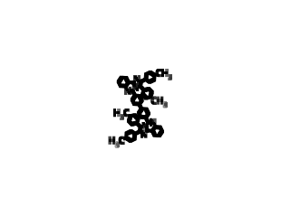 Cc1ccc(-c2nc3c4ccccc4nc(-c4ccc(-c5ccc(-c6nc7ccccc7c7nc(-c8ccc(C)cc8)c(-c8ccc(C)cc8)n67)cc5)cc4)n3c2-c2ccc(C)cc2)cc1